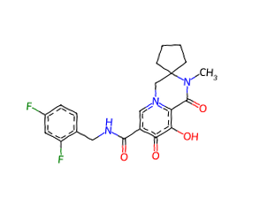 CN1C(=O)c2c(O)c(=O)c(C(=O)NCc3ccc(F)cc3F)cn2CC12CCCC2